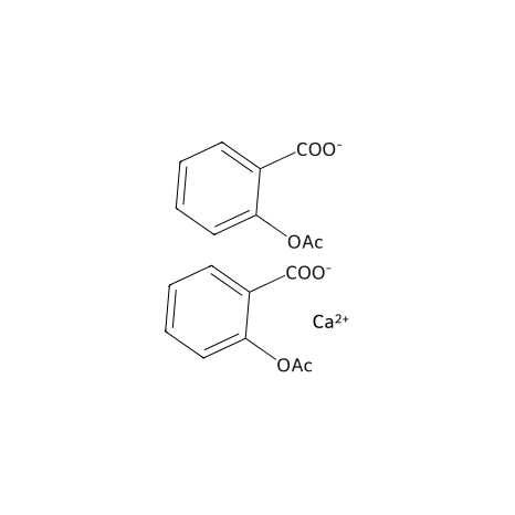 CC(=O)Oc1ccccc1C(=O)[O-].CC(=O)Oc1ccccc1C(=O)[O-].[Ca+2]